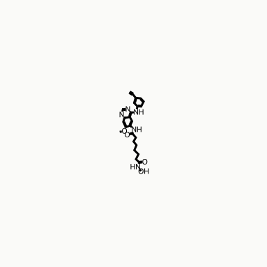 C#Cc1cccc(Nc2ncnc3cc(OC)c(NC(=O)CCCCCCC(=O)NO)cc23)c1